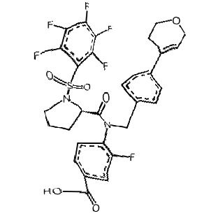 O=C(O)c1ccc(N(Cc2ccc(C3=CCOCC3)cc2)C(=O)[C@H]2CCCN2S(=O)(=O)c2c(F)c(F)c(F)c(F)c2F)c(F)c1